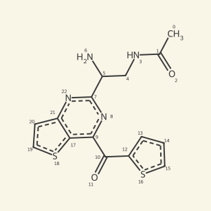 CC(=O)NCC(N)c1nc(C(=O)c2cccs2)c2sccc2n1